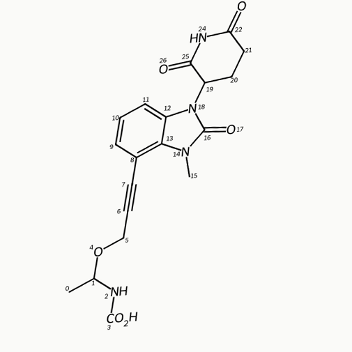 CC(NC(=O)O)OCC#Cc1cccc2c1n(C)c(=O)n2C1CCC(=O)NC1=O